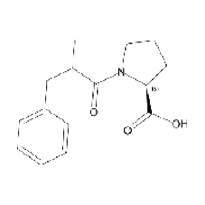 CC(Cc1ccccc1)C(=O)N1CCC[C@H]1C(=O)O